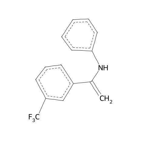 C=C(Nc1ccccc1)c1cccc(C(F)(F)F)c1